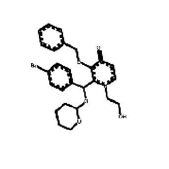 O=c1ccn(CCO)c(C(OC2CCCCO2)c2ccc(Br)cc2)c1OCc1ccccc1